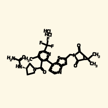 Cc1cc(C(F)(F)F)nc(-c2ccnc3cc(CN4C(=O)C5C(C4=O)C5(C)C)sc23)c1C(=O)N1CC[C@H](NC(N)=O)C1.Cl.Cl